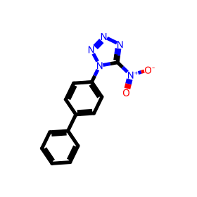 O=[N+]([O-])c1nnnn1-c1ccc(-c2ccccc2)cc1